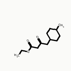 CCOC(=O)CC(=O)CC1CCC(C)CC1